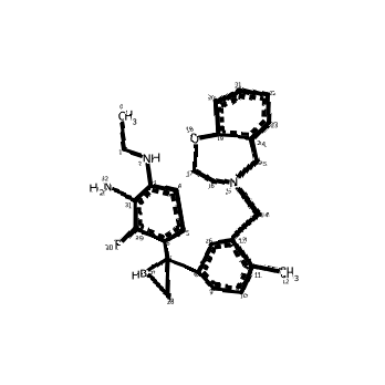 CCNc1ccc(C2(c3ccc(C)c(CN4CCOc5ccccc5C4)c3)BC2)c(F)c1N